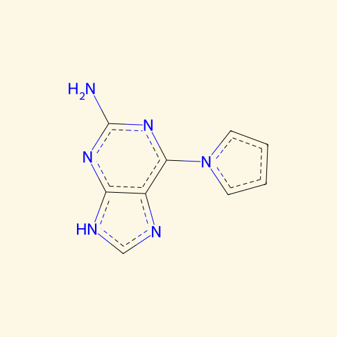 Nc1nc(-n2cccc2)c2nc[nH]c2n1